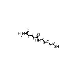 NC(=O)CCCC(=O)NCCOCCS